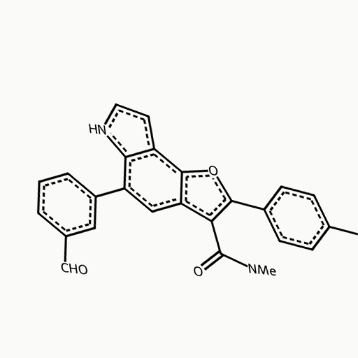 CNC(=O)c1c(-c2ccc(P)cc2)oc2c1cc(-c1cccc(C=O)c1)c1[nH]ccc12